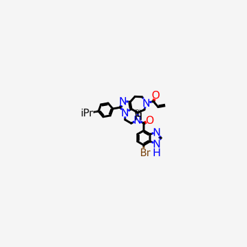 C=CC(=O)N1CCc2nc(-c3ccc(C(C)C)cc3)n3c2[C@@H](C1)N(C(=O)c1ccc(Br)c2[nH]cnc12)CC3